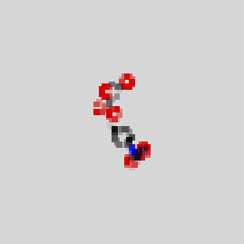 O=C1COC(C(=O)OCc2ccc([N+](=O)[O-])cc2)C1